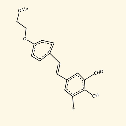 COCCOc1ccc(/C=C/c2cc(F)c(O)c(C=O)c2)cc1